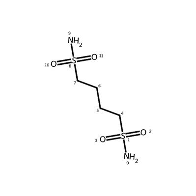 NS(=O)(=O)CCCCS(N)(=O)=O